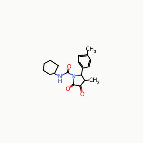 Cc1ccc(C2C(C)C(=O)C(=O)N2C(=O)NC2CCCCC2)cc1